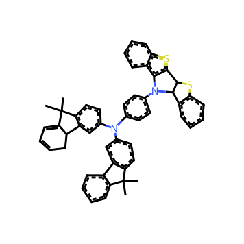 CC1(C)C2=CC=CCC2c2cc(N(c3ccc(N4c5c(sc6ccccc56)C5Sc6ccccc6C54)cc3)c3ccc4c(c3)-c3ccccc3C4(C)C)ccc21